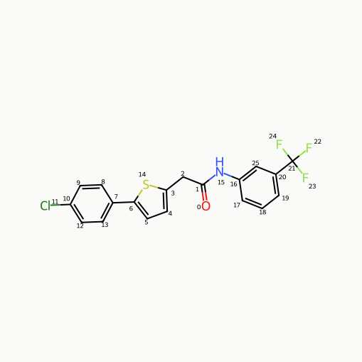 O=C(Cc1ccc(-c2ccc(Cl)cc2)s1)Nc1cccc(C(F)(F)F)c1